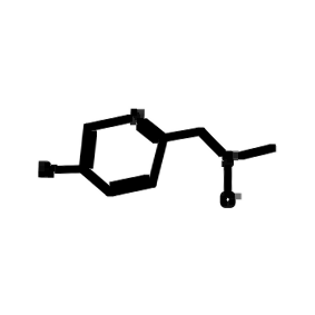 C[S+]([O-])Cc1ccc(Br)cn1